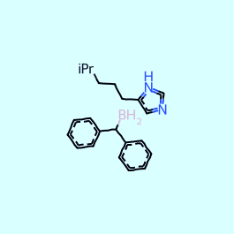 BC(c1ccccc1)c1ccccc1.CC(C)CCCc1cnc[nH]1